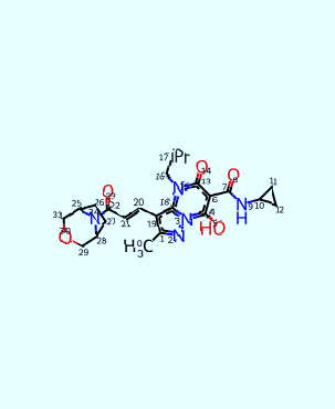 Cc1nn2c(O)c(C(=O)NC3CC3)c(=O)n(CC(C)C)c2c1/C=C/C(=O)N1C2CCC1COC2